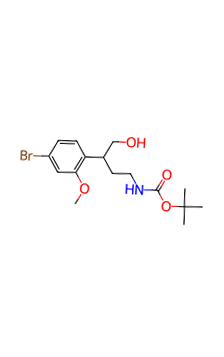 COc1cc(Br)ccc1C(CO)CCNC(=O)OC(C)(C)C